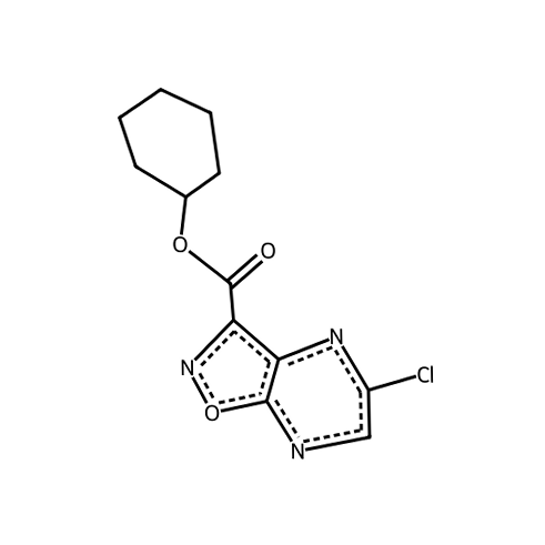 O=C(OC1CCCCC1)c1noc2ncc(Cl)nc12